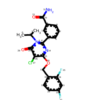 CC(C)n1c(-c2cccc(C(N)=O)c2)nc(OCc2ccc(F)cc2F)c(Cl)c1=O